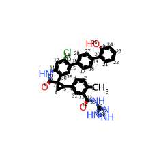 Cc1ccc(C2CC23C(=O)Nc2cc(Cl)c(-c4ccc(-c5ccccc5O)cc4)cc23)cc1C(=O)Nc1n[nH][nH]1